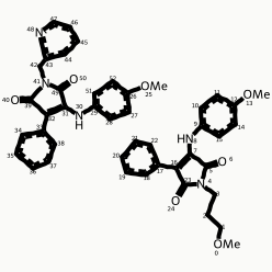 COCCCN1C(=O)C(Nc2ccc(OC)cc2)=C(c2ccccc2)C1=O.COc1ccc(NC2=C(c3ccccc3)C(=O)N(Cc3ccccn3)C2=O)cc1